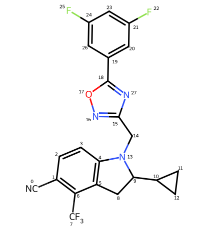 N#Cc1ccc2c(c1C(F)(F)F)CC(C1CC1)N2Cc1noc(-c2cc(F)cc(F)c2)n1